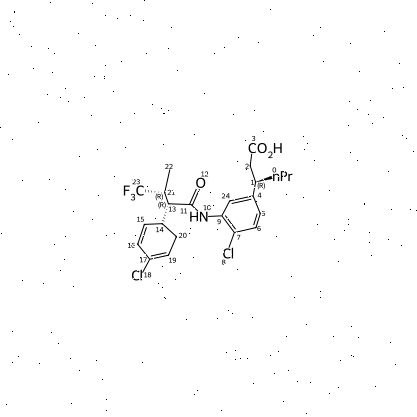 CCC[C@H](CC(=O)O)c1ccc(Cl)c(NC(=O)[C@H](C2C=CC(Cl)=CC2)[C@@H](C)C(F)(F)F)c1